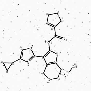 O=C(Nc1sc2c(c1-c1nc(C3CC3)no1)COCC2)C1=CCCC1.O=C(O)O